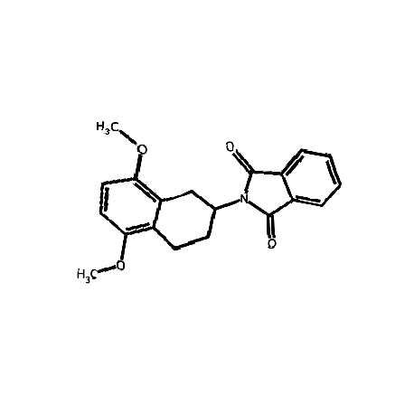 COc1ccc(OC)c2c1CCC(N1C(=O)c3ccccc3C1=O)C2